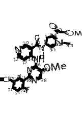 COC(=O)[C@H]1C[C@@H](NC(=O)c2cnccc2Nc2nc(-c3cc(Cl)ccc3F)ncc2OC)CN1C